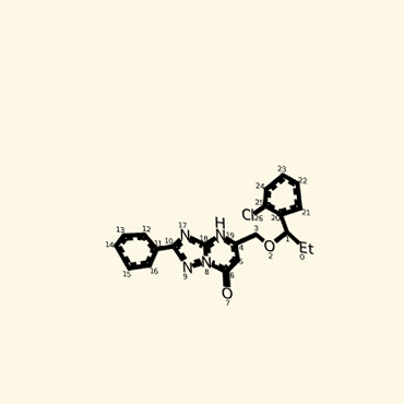 CCC(OCc1cc(=O)n2nc(-c3ccccc3)nc2[nH]1)c1ccccc1Cl